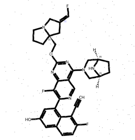 C#Cc1c(F)ccc2cc(O)cc(-c3ncc4c(N5C[C@H]6CC[C@@H](C5)N6)nc(OC[C@@]56CCCN5C/C(=C\F)C6)nc4c3F)c12